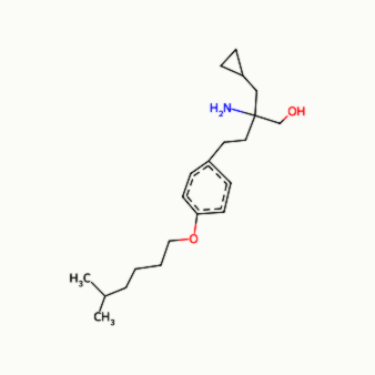 CC(C)CCCCOc1ccc(CCC(N)(CO)CC2CC2)cc1